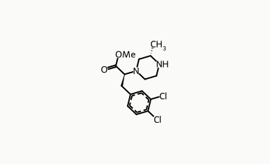 COC(=O)[C@H](Cc1ccc(Cl)c(Cl)c1)N1CCN[C@@H](C)C1